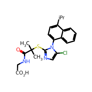 CC(C)c1ccc(-n2c(Cl)cnc2SC(C)(C)C(=O)NCC(=O)O)c2ccccc12